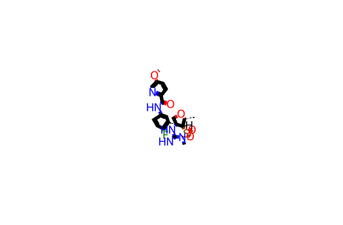 COc1ccc(C(=O)Nc2ccc(F)c([C@]34CO[C@H](C)[C@H]3S(=O)(=O)N(C)C(=N)N4)c2)nc1